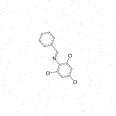 Clc1cc(Cl)c(N=Cc2ccccc2)c(Cl)c1